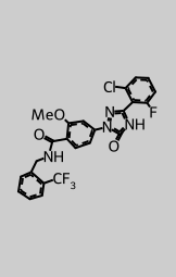 COc1cc(-n2nc(-c3c(F)cccc3Cl)[nH]c2=O)ccc1C(=O)NCc1ccccc1C(F)(F)F